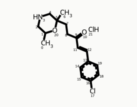 CC1CNCC(C)(CCC(=O)C=Cc2ccc(Cl)cc2)O1.Cl